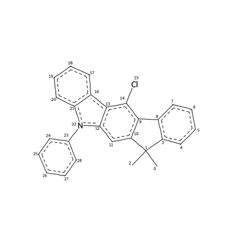 CC1(C)c2ccccc2-c2c1cc1c(c2Cl)c2ccccc2n1-c1ccccc1